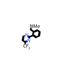 CNCc1ccccc1-c1nccc(C(F)(F)F)n1